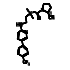 C[N+](C)(CCNc1ccc(-c2ccc(C(F)(F)F)cc2)cn1)CC(=O)N1CCC[C@H]1C#N